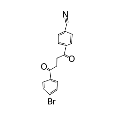 N#Cc1ccc(C(=O)CCC(=O)c2ccc(Br)cc2)cc1